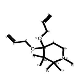 C=CCOC1(OCC=C)CCN(C)C(C)(C)C1(C)C